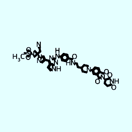 CCS(=O)(=O)N1CC(CC#N)(n2cc(-c3nc(Nc4ccc(C(=O)NCCC5CCN(c6ccc7c(c6)C(=O)N(C6CCC(=O)NC6=O)C7=O)CC5)cc4)nc4[nH]ccc34)cn2)C1